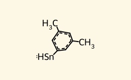 Cc1cc(C)c[c]([SnH])c1